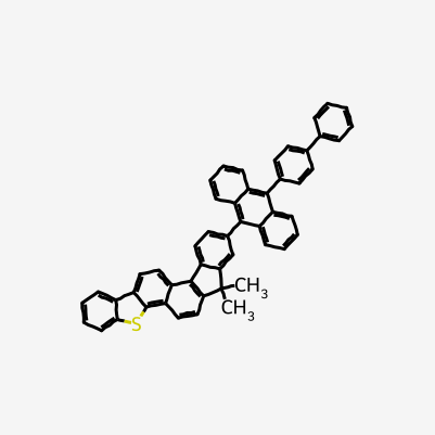 CC1(C)c2cc(-c3c4ccccc4c(-c4ccc(-c5ccccc5)cc4)c4ccccc34)ccc2-c2c1ccc1c2ccc2c3ccccc3sc12